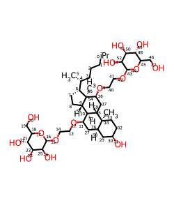 CC(C)CCC[C@@H](C)[C@H]1CC[C@H]2[C@@H]3[C@H](OCCO[C@@H]4OC(CO)[C@@H](O)[C@H](O)C4O)C[C@@H]4C[C@H](O)CC[C@]4(C)[C@H]3C[C@H](OCCO[C@@H]3OC(CO)[C@@H](O)[C@H](O)C3O)[C@]12C